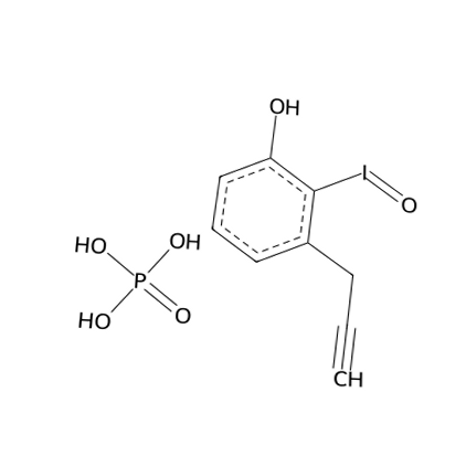 C#CCc1cccc(O)c1I=O.O=P(O)(O)O